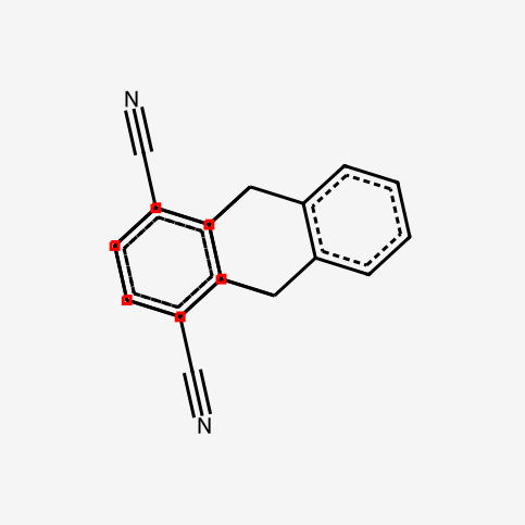 N#Cc1cccc2c1C1c3ccccc3C2c2c(C#N)cccc21